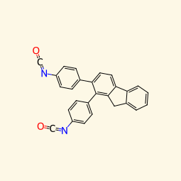 O=C=Nc1ccc(-c2ccc3c(c2-c2ccc(N=C=O)cc2)Cc2ccccc2-3)cc1